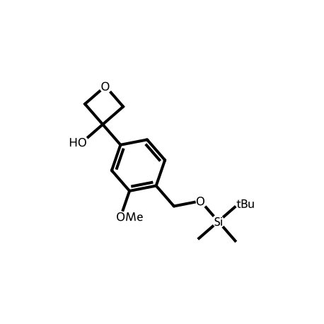 COc1cc(C2(O)COC2)ccc1CO[Si](C)(C)C(C)(C)C